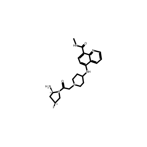 CNC(=O)c1ccc(NC2CCN(CC(=O)N3C[C@@H](F)C[C@H]3N)CC2)c2cccnc12